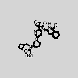 CC(C)(C)OC(=O)N(CC1CCC1)[C@@H]1CCCN(c2ccc(C3(C(=O)Nc4cc5ccccc5c(=O)[nH]4)COC3)nc2)C1